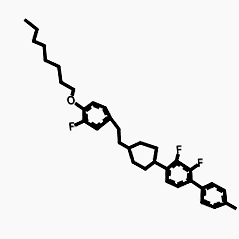 CCCCCCCCOc1ccc(CCC2CCC(c3ccc(-c4ccc(C)cc4)c(F)c3F)CC2)cc1F